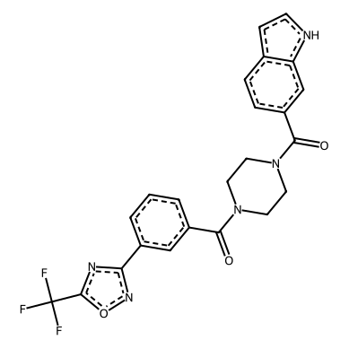 O=C(c1cccc(-c2noc(C(F)(F)F)n2)c1)N1CCN(C(=O)c2ccc3cc[nH]c3c2)CC1